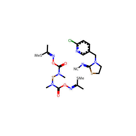 CS/C(C)=N\OC(=O)N(C)SN(C)C(=O)O/N=C(/C)SC.N#C/N=C1\SCCN1Cc1ccc(Cl)nc1